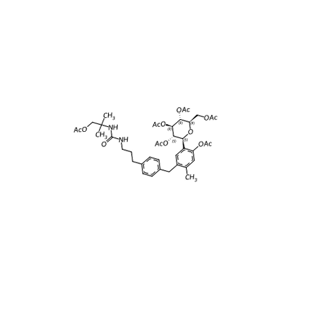 CC(=O)OC[C@H]1O[C@@H](c2cc(Cc3ccc(CCCNC(=O)NC(C)(C)COC(C)=O)cc3)c(C)cc2OC(C)=O)[C@H](OC(C)=O)[C@@H](OC(C)=O)[C@@H]1OC(C)=O